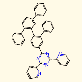 c1ccc(-c2ccc(-c3ccccc3)c(-c3ccc(-c4nc(-c5ccccn5)nc(-c5ccccn5)n4)cc3-c3ccccc3)c2)cc1